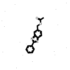 CC(=O)OCc1ccc2sc(-c3ccccc3)nc2c1